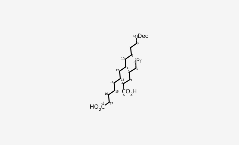 CC(C)CCCCC(=O)O.CCCCCCCCCCCCCCCCCCCCCC(=O)O